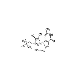 C=P(C)(C)CC[C@H]1O[C@@H](n2c(SCCCCC)nc3c(=O)[nH]c(C)nc32)[C@H](O)[C@@H]1O